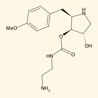 COc1ccc(C[C@H]2NC[C@H](O)[C@H]2OC(=O)NCCN)cc1